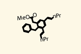 CCCC=Cc1cc(C=CCCC)c(Cc2ccccc2)c(CC(=O)OC)c1